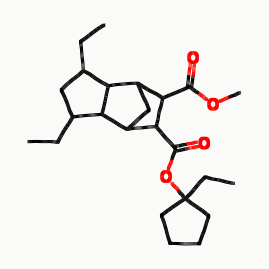 CCC1CC(CC)C2C3CC(C(C(=O)OC)C3C(=O)OC3(CC)CCCC3)C12